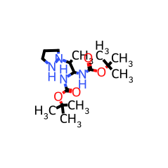 CC(C(NC(=O)OC(C)(C)C)NC(=O)OC(C)(C)C)N1CCCN1